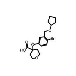 O=C(O)C1(Oc2ccc(Br)c(COC3CCCC3)c2)CCOCC1